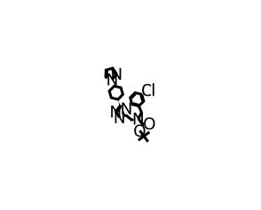 CC(C)(C)OC(=O)N1Cc2cc(Cl)ccc2-n2c(nnc2[C@H]2CC[C@@H](n3cccn3)CC2)C1